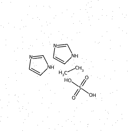 CC.O=S(=O)(O)O.c1c[nH]cn1.c1c[nH]cn1